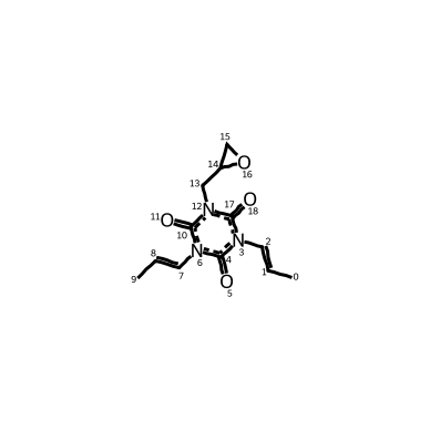 CC=Cn1c(=O)n(C=CC)c(=O)n(CC2CO2)c1=O